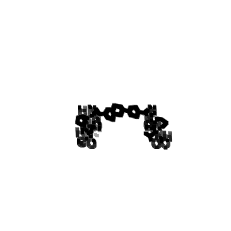 COC(=O)N[C@@H](C)C(=O)N1[C@@H]2CC[C@@H](C2)[C@H]1c1ncc(-c2ccc3cc(-c4ccc(-c5cnc([C@@H]6CCCN6C(=O)[C@@H](NC(=O)OC)C(C)C)[nH]5)cc4)ccc3c2)[nH]1